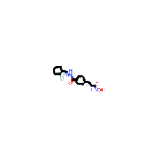 O=C(/C=C/c1ccc(C(=O)N/N=C/c2ccccc2Cl)cc1)NO